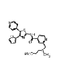 COCCN(C)Cc1cc(C(=O)Nc2nc(-c3ccco3)c(-c3ccncc3)s2)ccn1